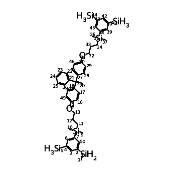 C[SiH2]c1cc([SiH3])cc([Si](C)(C)CCCOc2ccc(C(C)(c3ccccc3)c3ccc(OCCC[Si](C)(C)c4cc([SiH3])cc([SiH3])c4)cc3)cc2)c1